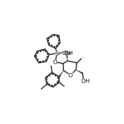 Cc1cc(C)c([C@@H]2O[C@H](CO)C(C)[C@H](O)C2O[Si](c2ccccc2)(c2ccccc2)C(C)(C)C)c(C)c1